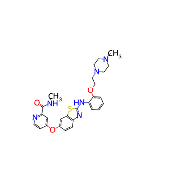 CNC(=O)c1cc(Oc2ccc3nc(Nc4ccccc4OCCN4CCN(C)CC4)sc3c2)ccn1